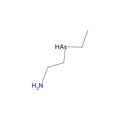 CC[AsH]CCN